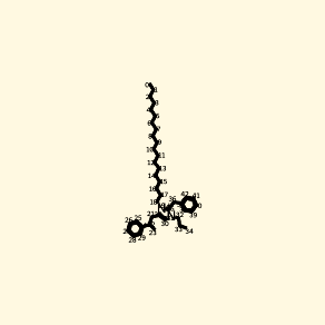 CCCCCCCCCCCCCCCCCCC[n+]1c(CC(C)c2ccccc2)cn(CCC)c1Cc1ccccc1